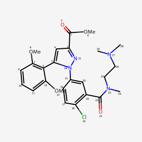 COC(=O)c1cc(-c2c(OC)cccc2OC)n(-c2ccc(Cl)c(C(=O)N(C)CCN(C)C)c2)n1